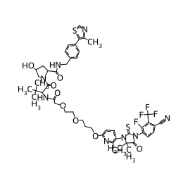 Cc1nc(OCCCOCCOCC(=O)NC(C(=O)N2CC(O)CC2C(=O)NCc2ccc(-c3scnc3C)cc2)C(C)(C)C)ccc1N1C(=S)N(c2ccc(C#N)c(C(F)(F)F)c2F)C(=O)C1(C)C